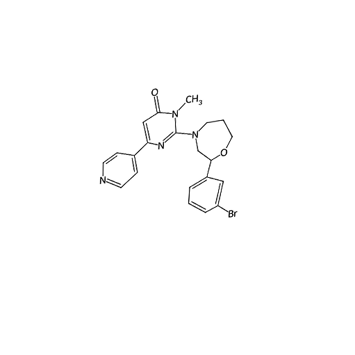 Cn1c(N2CCCOC(c3cccc(Br)c3)C2)nc(-c2ccncc2)cc1=O